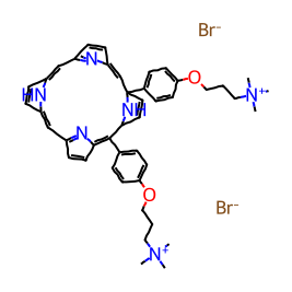 C[N+](C)(C)CCCOc1ccc(C2=C3C=CC(=N3)C=c3ccc([nH]3)=CC3=NC(=CC4(c5ccc(OCCC[N+](C)(C)C)cc5)C=CC2N4)C=C3)cc1.[Br-].[Br-]